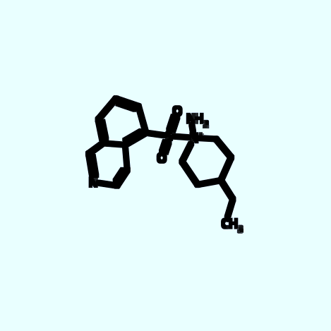 CCC1CC[N+](N)(S(=O)(=O)c2cccc3cnccc23)CC1